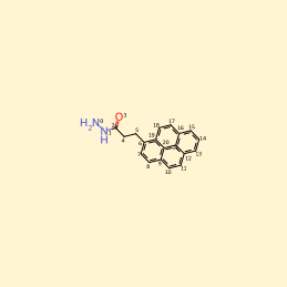 NNC(=O)CCc1ccc2ccc3cccc4ccc1c2c34